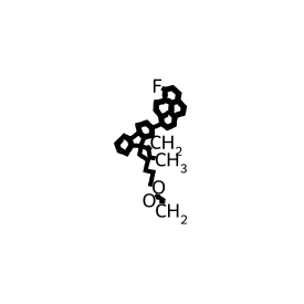 C=CC(=O)OCCCCCC1(C(=C)CC)c2ccccc2-c2ccc(-c3ccc4ccc5ccc(F)c6ccc3c4c56)cc21